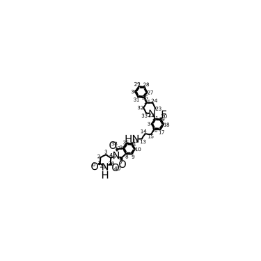 O=C1CCC(N2C(=O)c3ccc(NCCCc4ccc(F)c(N5CCC(c6ccccc6)CC5)c4)cc3C2=O)C(=O)N1